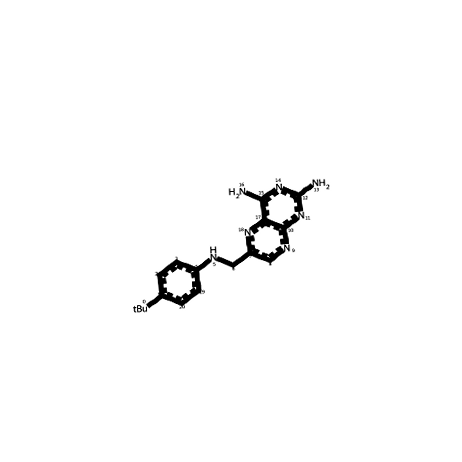 CC(C)(C)c1ccc(NCc2cnc3nc(N)nc(N)c3n2)cc1